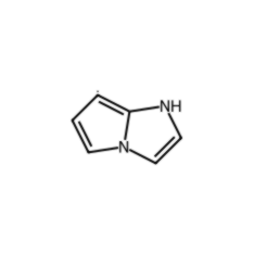 [c]1ccn2cc[nH]c12